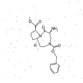 COC(=O)[C@@H]1CC[C@@H]2CCN(C(=O)OCc3ccccc3)C[C@H](N)C(=O)N21